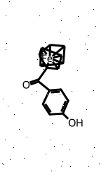 O=C(c1ccc(O)cc1)[C]12[CH]3[CH]4[CH]5[CH]1[Fe]45321678[CH]2[CH]1[CH]6[CH]7[CH]28